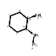 CC(C)(C)N[C@H]1CCCC[C@H]1N